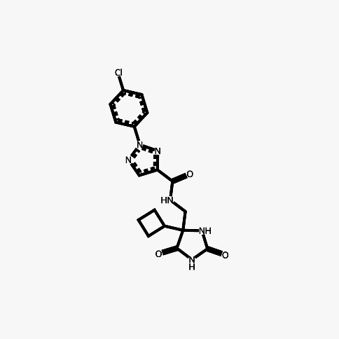 O=C1NC(=O)C(CNC(=O)c2cnn(-c3ccc(Cl)cc3)n2)(C2CCC2)N1